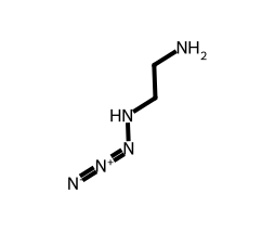 [N-]=[N+]=NNCCN